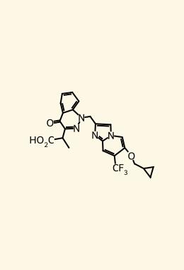 CC(C(=O)O)c1nn(Cc2cn3cc(OCC4CC4)c(C(F)(F)F)cc3n2)c2ccccc2c1=O